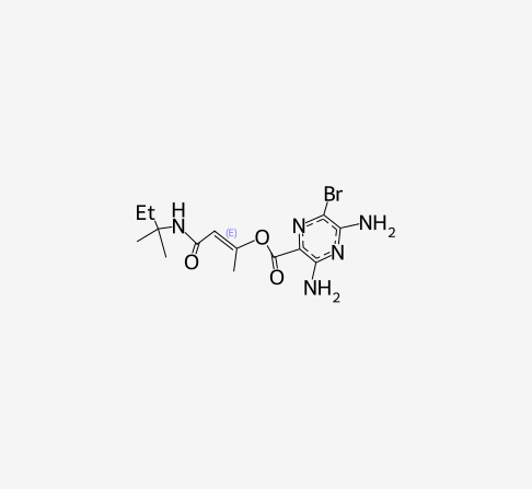 CCC(C)(C)NC(=O)/C=C(\C)OC(=O)c1nc(Br)c(N)nc1N